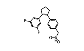 O=[SH](=O)Cc1ccc(C2=C(c3cc(F)cc(F)c3)CCC2)cc1